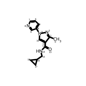 Cc1nn(-c2cccnc2)cc1C(=O)NCC1CC1